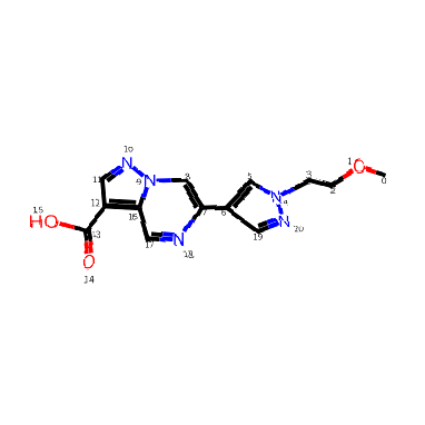 COCCn1cc(-c2cn3ncc(C(=O)O)c3cn2)cn1